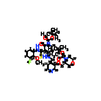 COc1c(F)cccc1NC(=S)C1=C(NCc2ccncc2OC[C@H]2COCCN2C(=O)OC(C)(C)C)CCN(C(=O)OC(C)(C)C)C1=O